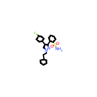 NS(=O)(=O)c1ccccc1-c1nn(CCc2ccccc2)cc1-c1ccc(F)cc1